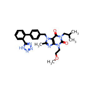 COCCn1c(=O)n(CC(C)C)c(=O)c2c1nc(C)n2Cc1ccc(-c2ccccc2-c2nnn[nH]2)cc1